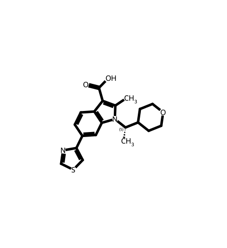 Cc1c(C(=O)O)c2ccc(-c3cscn3)cc2n1[C@@H](C)C1CCOCC1